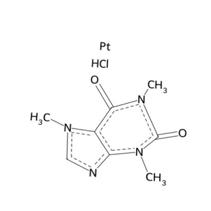 Cl.Cn1c(=O)c2c(ncn2C)n(C)c1=O.[Pt]